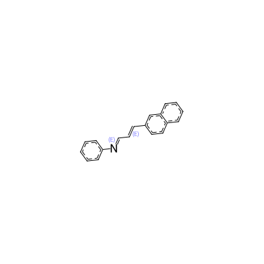 C(=C\c1ccc2ccccc2c1)/C=N/c1ccccc1